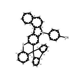 N#Cc1ccc(-n2c3cc4c(cc3c3c5ccccc5ccc32)Sc2ccccc2C42c3ccccc3-c3ccccc32)cc1